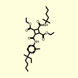 CCCCC(C)(C)NC(=O)C1C(C(=O)OCC)C(C(=O)Nc2ccc(C(C)(CC)CCCC)cc2C)C1C(=O)OCC